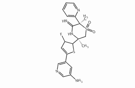 C[C@@]1(c2ccccn2)C(=N)N[C@](C)(C2SC(c3cncc(N)c3)=CC2F)CS1(=O)=O